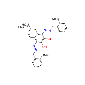 COc1ccccc1CN=Nc1c(O)c(O)c(N=NCc2ccccc2OC)c2cc(S(=O)(=O)O)ccc12.[NaH]